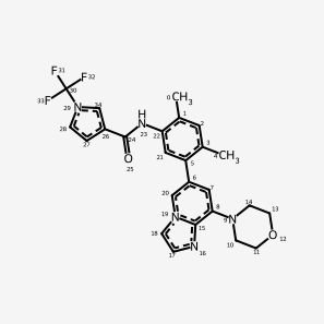 Cc1cc(C)c(-c2cc(N3CCOCC3)c3nccn3c2)cc1NC(=O)c1ccn(C(F)(F)F)c1